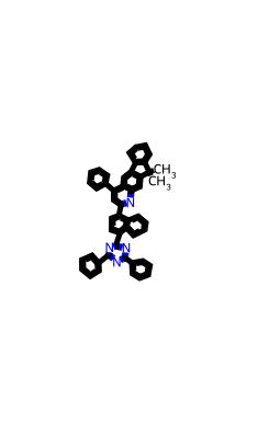 CC1(C)c2ccccc2-c2cc3c(-c4ccccc4)cc(-c4ccc(-c5nc(-c6ccccc6)nc(-c6ccccc6)n5)c5ccccc45)nc3cc21